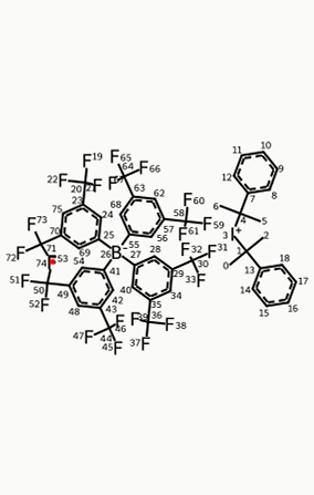 CC(C)([I+]C(C)(C)c1ccccc1)c1ccccc1.FC(F)(F)c1cc([B-](c2cc(C(F)(F)F)cc(C(F)(F)F)c2)(c2cc(C(F)(F)F)cc(C(F)(F)F)c2)c2cc(C(F)(F)F)cc(C(F)(F)F)c2)cc(C(F)(F)F)c1